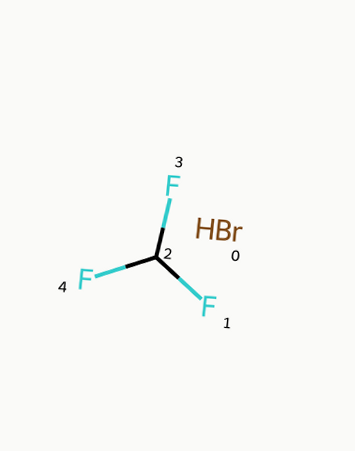 Br.FC(F)F